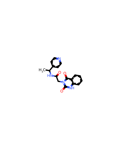 CC(NC(=O)Cn1c(=O)[nH]c2ccccc2c1=O)c1ccncc1